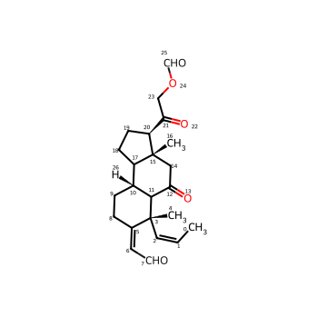 C/C=C\[C@]1(C)/C(=C\C=O)CC[C@H]2C1C(=O)C[C@]1(C)C2CC[C@H]1C(=O)COC=O